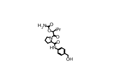 CC(C)C(OC(N)=O)C(=O)N1CCCC1C(=O)Nc1ccc(CO)cc1